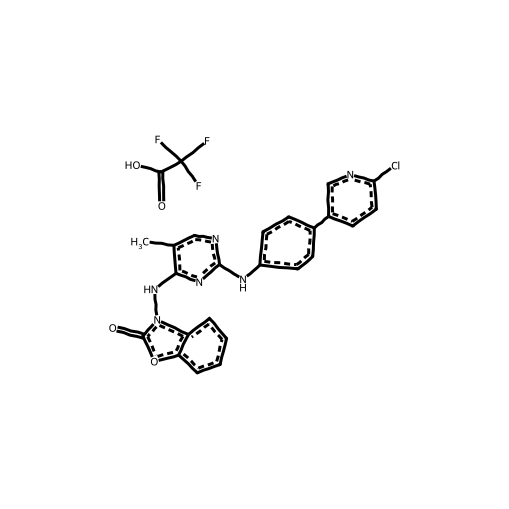 Cc1cnc(Nc2ccc(-c3ccc(Cl)nc3)cc2)nc1Nn1c(=O)oc2ccccc21.O=C(O)C(F)(F)F